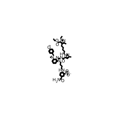 CCOC(=O)c1c(CCCCCn2nc(C)cc2C(=O)Nc2nc3c(N(C)Cc4ccc(OC)cc4)cccc3n2CCCCNc2ccc(C(N)=O)cc2[N+](=O)[O-])c(C)nn1CC